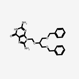 Nc1nc2c(nc(N)n2COC(COCc2ccccc2)COCc2ccccc2)c(=O)[nH]1